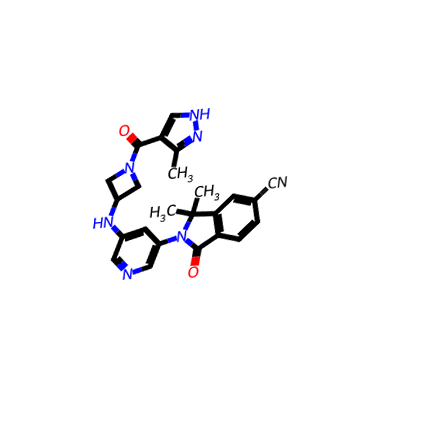 Cc1n[nH]cc1C(=O)N1CC(Nc2cncc(N3C(=O)c4ccc(C#N)cc4C3(C)C)c2)C1